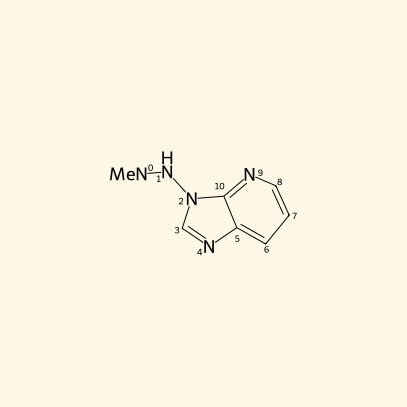 CNNn1cnc2cccnc21